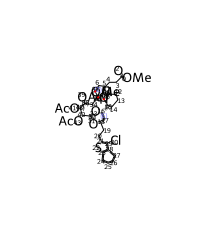 COC(=O)CCC/C=C\CN1C(=O)CCC[C@@H]1/C=C/C(CCc1sc2ccccc2c1Cl)O[C@@H]1OC(C(=O)OC)[C@@H](OC(C)=O)[C@H](OC(C)=O)C1OC(C)=O